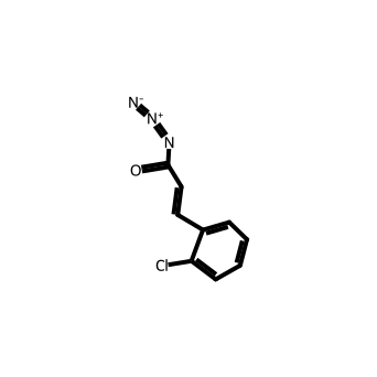 [N-]=[N+]=NC(=O)/C=C/c1ccccc1Cl